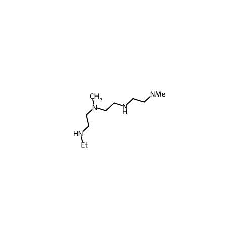 [CH2]CNCCN(C)CCNCCN[CH2]